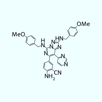 COc1ccc(CNc2nc3c(-c4ccncn4)c(-c4ccc(N)c(C#N)c4)nc(NCc4ccc(OC)cc4)n3n2)cc1